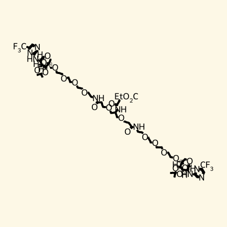 CCOC(=O)CC(=O)NC(COCCC(=O)NCCOCCOCCOCCOC[C@@]12CO[C@@H](O1)[C@H](Nc1cncc(C(F)(F)F)n1)[C@H]1OC(C)(C)O[C@H]12)COCCC(=O)NCCOCCOCCOCCOC[C@@]12CO[C@@H](O1)[C@H](Nc1cncc(C(F)(F)F)n1)[C@H]1OC(C)(C)O[C@H]12